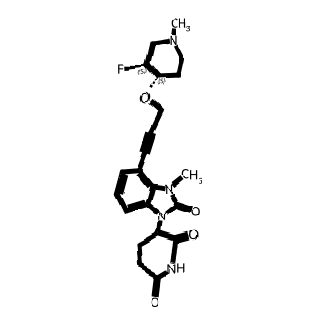 CN1CC[C@H](OCC#Cc2cccc3c2n(C)c(=O)n3C2CCC(=O)NC2=O)[C@@H](F)C1